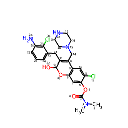 CN(C)C(=O)Oc1cc2c(cc1Cl)C(CN1CCNCC1)=C(Cc1cccc(N)c1Cl)C(O)O2